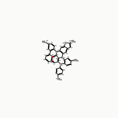 CC(C)(C)c1ccc(N2c3ccc(C(C)(C)C)cc3B3c4cc5cc(C(C)(C)C)sc5cc4N(c4ccc(C(C)(C)C)cc4-c4ccccc4)c4cccc2c43)cc1